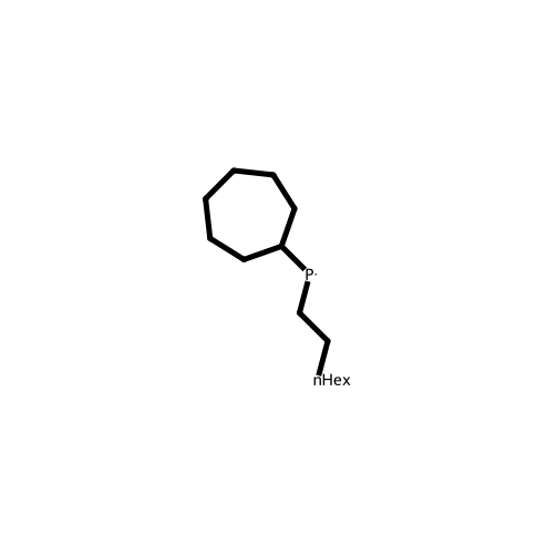 CCCCCCCC[P]C1CCCCCC1